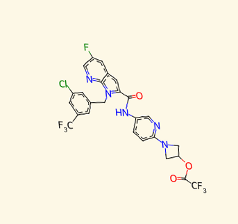 O=C(Nc1ccc(N2CC(OC(=O)C(F)(F)F)C2)nc1)c1cc2cc(F)cnc2n1Cc1cc(Cl)cc(C(F)(F)F)c1